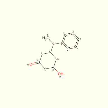 CC(c1ccccc1)C1CC(=O)CC(O)C1